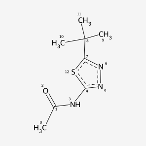 CC(=O)Nc1nnc(C(C)(C)C)s1